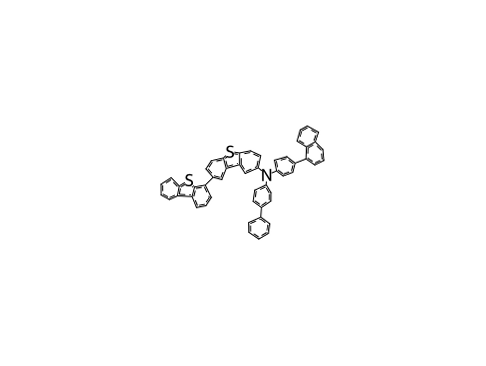 c1ccc(-c2ccc(N(c3ccc(-c4cccc5ccccc45)cc3)c3ccc4sc5ccc(-c6cccc7c6sc6ccccc67)cc5c4c3)cc2)cc1